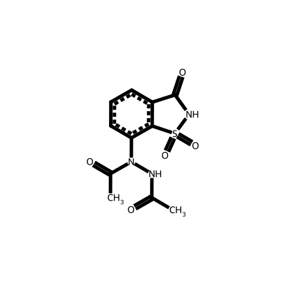 CC(=O)NN(C(C)=O)c1cccc2c1S(=O)(=O)NC2=O